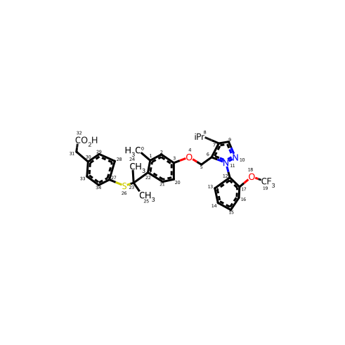 Cc1cc(OCc2c(C(C)C)cnn2-c2ccccc2OC(F)(F)F)ccc1C(C)(C)Sc1ccc(CC(=O)O)cc1